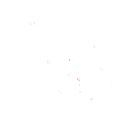 NC(=O)CO/N=C(\C(=O)O)c1nc2ccccc2n(C2C[C@H]3CC[C@@H](C2)N3C2C[C@H]3CCCC[C@@H](C2)C3)c1=O